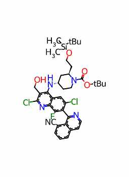 CC(C)(C)OC(=O)N1CC[C@H](Nc2c(CO)c(Cl)nc3c(F)c(-c4nccc5cccc(C#N)c45)c(Cl)cc23)C[C@H]1CCO[Si](C)(C)C(C)(C)C